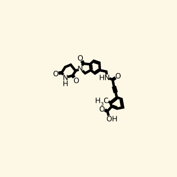 Cc1c(C#CC(=O)NCc2ccc3c(c2)CN(C2CCC(=O)NC2=O)C3=O)cccc1C(=O)O